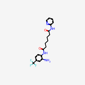 Nc1cc(C(F)(F)F)ccc1NC(=O)CCCCCC(=O)Nc1ccccn1